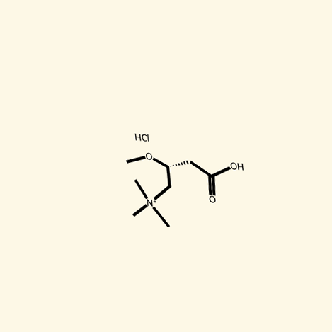 CO[C@H](CC(=O)O)C[N+](C)(C)C.Cl